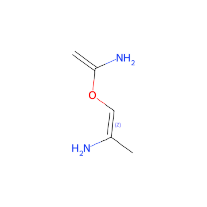 C=C(N)O/C=C(/C)N